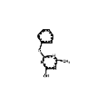 Cc1nc(O)nc(Oc2ccccc2)n1